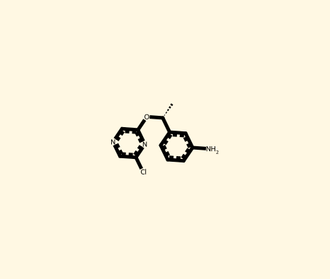 C[C@@H](Oc1cncc(Cl)n1)c1cccc(N)c1